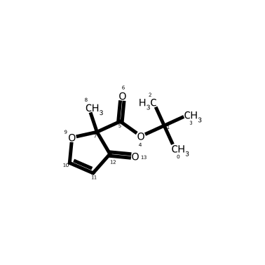 CC(C)(C)OC(=O)C1(C)OC=CC1=O